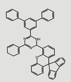 C1=CC(C2=NC(c3cccc4c3Oc3ccccc3C43c4ccccc4-c4ccccc43)NC(c3cc(-c4ccccc4)cc(-c4ccccc4)c3)=N2)=CCC1